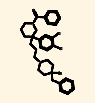 CC(=O)C1(Cc2ccccc2)CCN(CCCC2(c3ccc(Cl)c(Cl)c3)CCCN(C(=O)c3ccccc3)C2)CC1